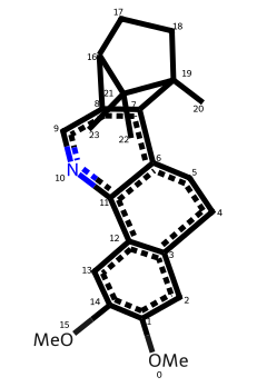 COc1cc2ccc3c4c(cnc3c2cc1OC)C1CCC4(C)C1(C)C